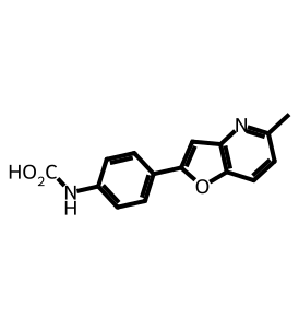 Cc1ccc2oc(-c3ccc(NC(=O)O)cc3)cc2n1